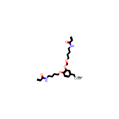 C=CC(=O)NCCCCOCOc1cc(CC(=O)[O-])ccc1OCCCCNC(=O)C=C.[Na+]